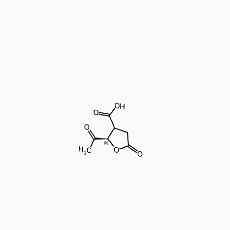 CC(=O)[C@@H]1OC(=O)CC1C(=O)O